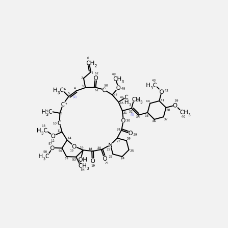 C=CCC1/C=C(/C)CC(C)CC(OC)C2OC(O)(C(=O)C(=O)N3CCCCC3C(=O)OC(/C(C)=C/C3CCC(OC)C(OC)C3)C(C)C(OC)CC1=O)C(C)CC2OC